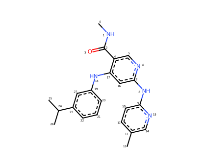 CNC(=O)c1cnc(Nc2ccc(C)cn2)cc1Nc1cccc(C(C)C)c1